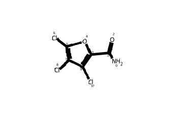 NC(=O)c1oc(Cl)c(Cl)c1Cl